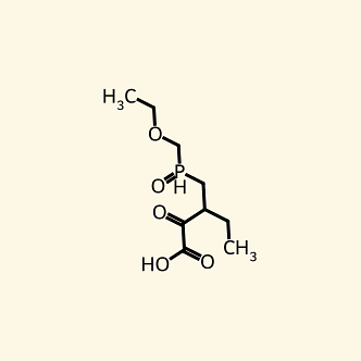 CCOC[PH](=O)CC(CC)C(=O)C(=O)O